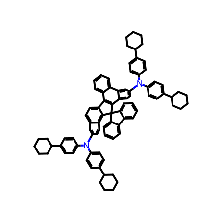 c1ccc2c(c1)-c1ccccc1C21c2c(ccc3cc(N(c4ccc(C5CCCCC5)cc4)c4ccc(C5CCCCC5)cc4)ccc23)-c2c1c1ccc(N(c3ccc(C4CCCCC4)cc3)c3ccc(C4CCCCC4)cc3)cc1c1ccccc21